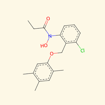 CCC(=O)N(O)c1cccc(Cl)c1COc1cc(C)c(C)cc1C